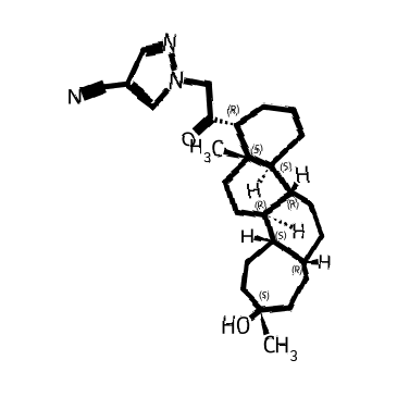 C[C@]1(O)CC[C@H]2CC[C@@H]3[C@H](CC[C@]4(C)[C@H](C(=O)Cn5cc(C#N)cn5)CCC[C@@H]34)[C@H]2CC1